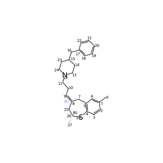 Cc1ccc2c(c1)C/C(=C\CCN1CCC(Cc3ccccc3)CC1)C[C@@H](C)S2